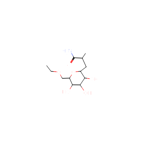 CCOCC1OC([CH]C(C)C(N)=O)C(O)C(O)C1O